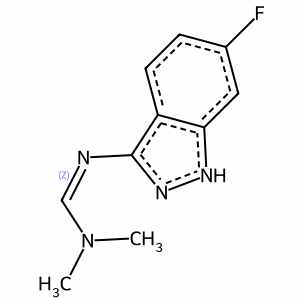 CN(C)/C=N\c1n[nH]c2cc(F)ccc12